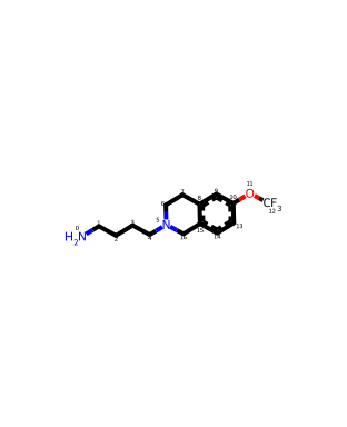 NCCCCN1CCc2cc(OC(F)(F)F)ccc2C1